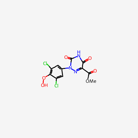 COC(=O)c1nn(-c2cc(Cl)c(OO)c(Cl)c2)c(=O)[nH]c1=O